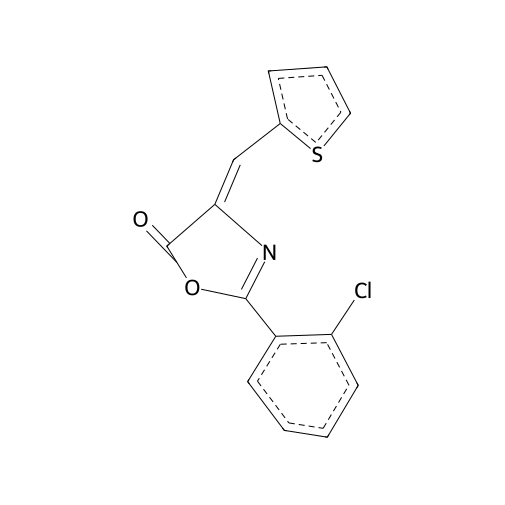 O=C1OC(c2ccccc2Cl)=N/C1=C\c1cccs1